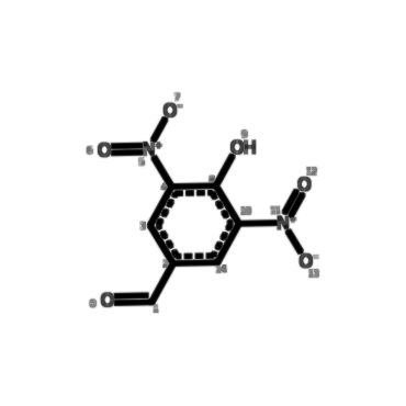 O=Cc1cc([N+](=O)[O-])c(O)c([N+](=O)[O-])c1